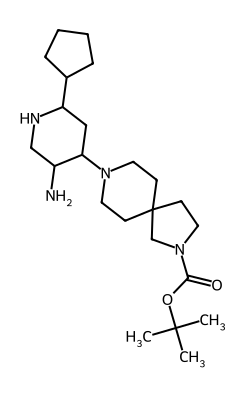 CC(C)(C)OC(=O)N1CCC2(CCN(C3CC(C4CCCC4)NCC3N)CC2)C1